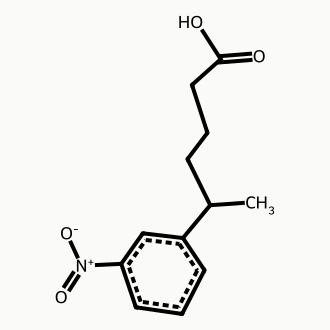 CC(CCCC(=O)O)c1cccc([N+](=O)[O-])c1